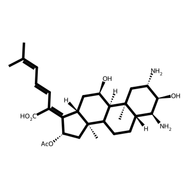 CC(=O)O[C@H]1C[C@]2(C)C3CC[C@H]4[C@H](N)[C@H](O)[C@@H](N)C[C@]4(C)[C@@H]3[C@H](O)C[C@H]2/C1=C(\C=C\C=C(C)C)C(=O)O